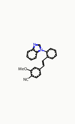 COc1cc(C=Cc2ccccc2-n2cnc3ccccc32)ccc1C#N